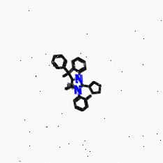 Cc1ccccc1N1C(C2CCCC2)N2c3ccccc3C(C)(c3ccccc3)C2[C@@H]1C